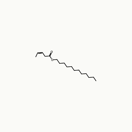 C/C=C\CC(=O)OCCCCCCCCCCCC